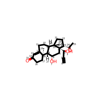 C#CC(O)[C@]12C[C@H](O)[C@H]3[C@@H](CCC4=CC(=O)CC[C@@]43C)[C@@H]1CC[C@@H]2C(C)=O